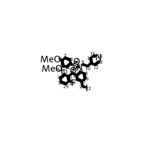 COc1ccc(S(=O)(=O)N(CCc2ccncc2)c2ccc(CI)cc2Cc2c(F)cccc2F)cc1OC